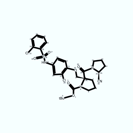 CC(C)(C)OC(=O)N1CCC[C@@]1(COc1ccc(NS(=O)(=O)c2ccccc2Cl)cc1Cl)C(=O)N1CCC[C@H]1C#N